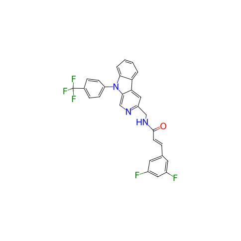 O=C(/C=C/c1cc(F)cc(F)c1)NCc1cc2c3ccccc3n(-c3ccc(C(F)(F)F)cc3)c2cn1